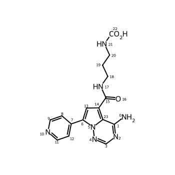 Nc1ncnn2c(-c3ccncc3)cc(C(=O)NCCCNC(=O)O)c12